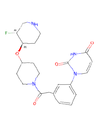 O=C(c1cccc(-n2ccc(=O)[nH]c2=O)c1)N1CCC(O[C@@H]2CCNC[C@H]2F)CC1